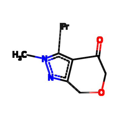 CC(C)c1c2c(nn1C)COCC2=O